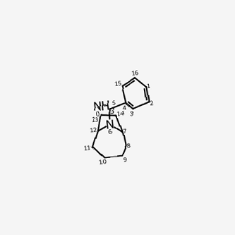 N.c1ccc(CN2C3CCCCC2CC3)cc1